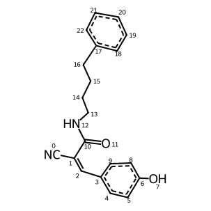 N#CC(=Cc1ccc(O)cc1)C(=O)NCCCCc1ccccc1